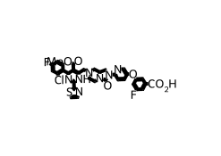 COC(=O)C1=C(CN2CCN3C(=O)N(c4ccc(Oc5cc(F)cc(C(=O)O)c5)cn4)CC3C2)NC(c2nccs2)=NC1c1ccc(F)cc1Cl